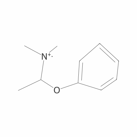 CC(Oc1ccccc1)[N+](C)C